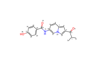 CC(C)C(=O)c1cc2ccc(NC(=O)c3ccc(O)cc3)cn2c1